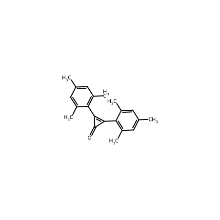 Cc1cc(C)c(-c2c(-c3c(C)cc(C)cc3C)c2=O)c(C)c1